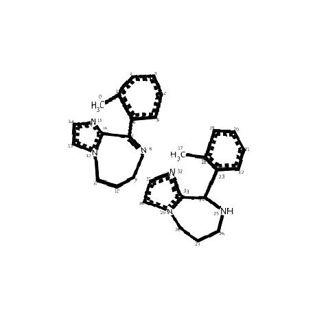 Cc1ccccc1C1=NCCCn2ccnc21.Cc1ccccc1C1NCCCn2ccnc21